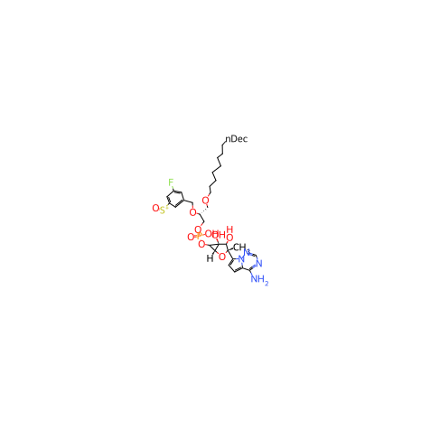 CCCCCCCCCCCCCCCCCCOC[C@H](COP(=O)(O)OC1[C@H]2O[C@@](C)(c3ccc4c(N)ncnn34)[C@H](O)[C@@]12O)OCc1cc(F)cc([S+]=O)c1